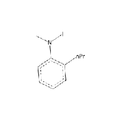 CCCc1ccccc1N(C)I